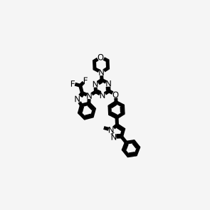 Cn1nc(-c2ccccc2)cc1-c1ccc(Oc2nc(N3CCOCC3)nc(-n3c(C(F)F)nc4ccccc43)n2)cc1